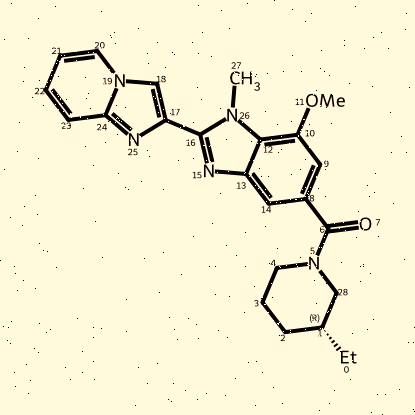 CC[C@@H]1CCCN(C(=O)c2cc(OC)c3c(c2)nc(-c2cn4ccccc4n2)n3C)C1